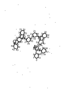 c1ccc(-c2nnc(-c3ccc4c5ccccc5n(-c5cccc(-c6cccc(-n7c8ccccc8c8cc9oc%10ccccc%10c9cc87)c6)c5)c4c3)n2-c2ccccc2)cc1